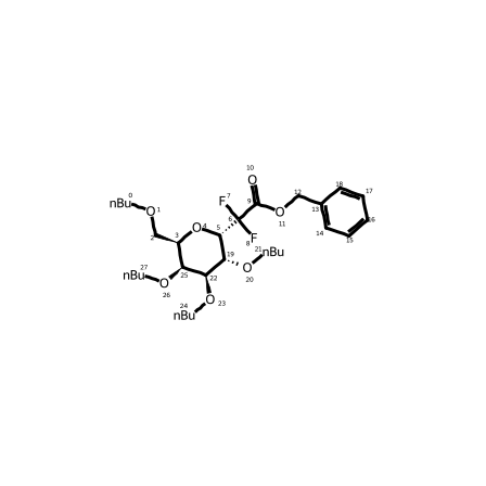 CCCCOC[C@H]1O[C@H](C(F)(F)C(=O)OCc2ccccc2)[C@H](OCCCC)[C@@H](OCCCC)[C@H]1OCCCC